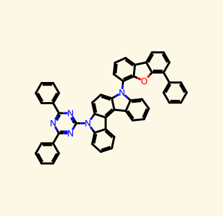 c1ccc(-c2nc(-c3ccccc3)nc(-n3c4ccccc4c4c5c6ccccc6n(-c6cccc7c6oc6c(-c8ccccc8)cccc67)c5ccc43)n2)cc1